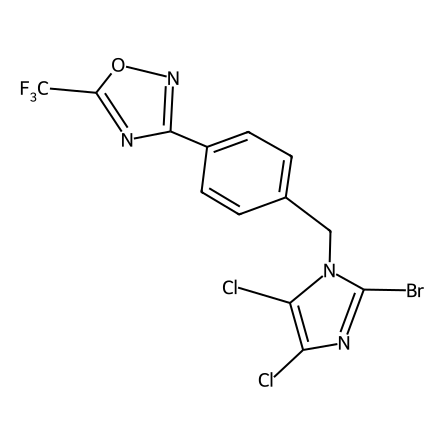 FC(F)(F)c1nc(-c2ccc(Cn3c(Br)nc(Cl)c3Cl)cc2)no1